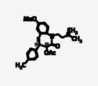 COc1ccc2c(c1)S[C@H](c1ccc(C)cc1)[C@H](OC(C)=O)C(=O)N2CCN(C)C